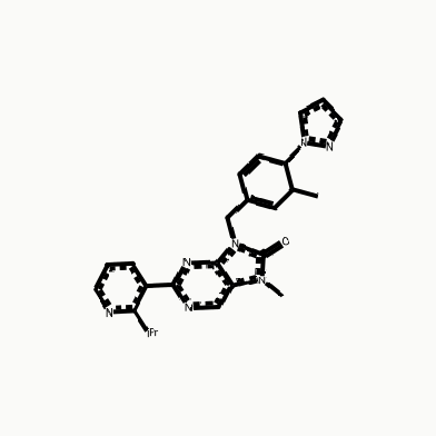 CC(C)c1ncccc1-c1ncc2c(n1)n(CC1=CC(C)C(n3cccn3)C=C1)c(=O)n2C